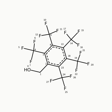 OCc1c(C(F)(F)F)c(C(F)(F)F)c(C(F)(F)F)c(C(F)(F)F)c1C(F)(F)F